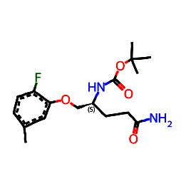 Cc1ccc(F)c(OC[C@H](CCC(N)=O)NC(=O)OC(C)(C)C)c1